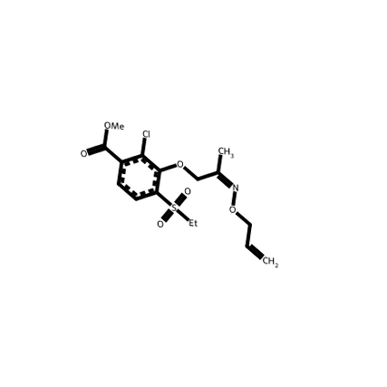 C=CCO/N=C(/C)COc1c(S(=O)(=O)CC)ccc(C(=O)OC)c1Cl